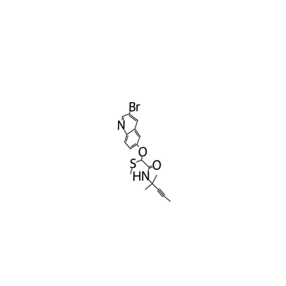 CC#CC(C)(C)NC(=O)C(Oc1ccc2ncc(Br)cc2c1)SC